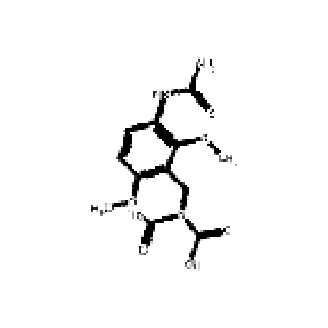 COc1ccc(NC(N)=S)c(OC)c1CN(C(=O)O)C(=O)O